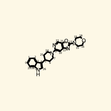 c1ccc2c(C3CCN(c4cc5nc(N6CCOCC6)oc5cn4)CC3)c[nH]c2c1